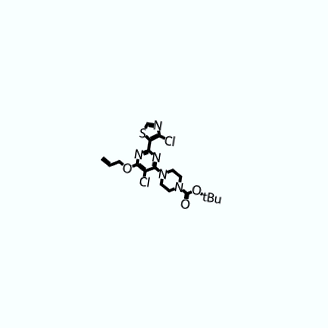 C=CCOc1nc(-c2scnc2Cl)nc(N2CCN(C(=O)OC(C)(C)C)CC2)c1Cl